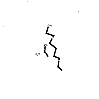 CCCCCCCCO.CCO.O